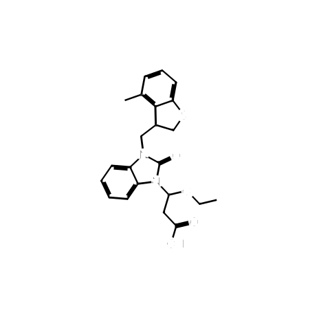 CCOC(CC(=O)O)n1c(=O)n(CC2CSc3cccc(C)c32)c2ccccc21